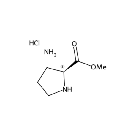 COC(=O)[C@@H]1CCCN1.Cl.N